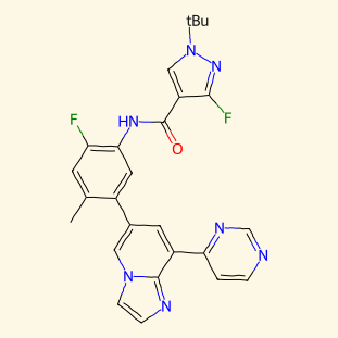 Cc1cc(F)c(NC(=O)c2cn(C(C)(C)C)nc2F)cc1-c1cc(-c2ccncn2)c2nccn2c1